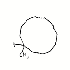 CC1(I)CCCCCCCCCCC1